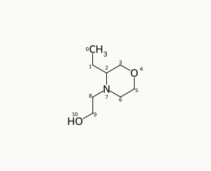 CCC1COCCN1CCO